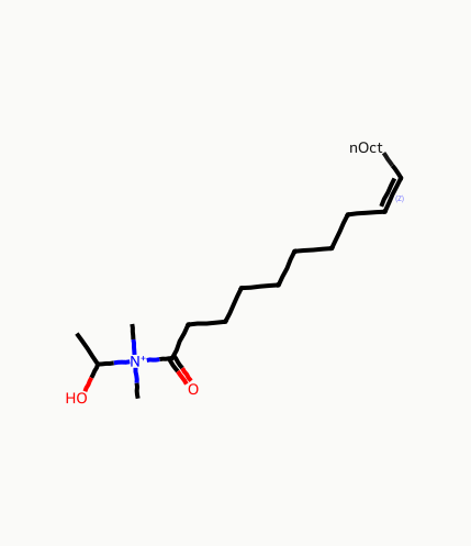 CCCCCCCC/C=C\CCCCCCCC(=O)[N+](C)(C)C(C)O